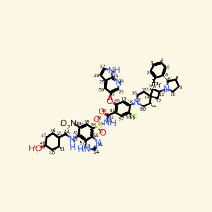 CC(C)c1ccccc1[C@@H]1CCCN1C1CC2(CCN(c3cc(Oc4cnc5[nH]ccc5c4)c(C(=O)NS(=O)(=O)c4cc([N+](=O)[O-])c(NCC5CCC(O)CC5)c5[nH]cnc45)cc3F)CC2)C1